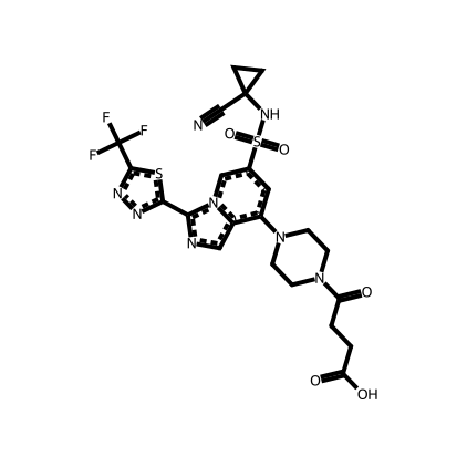 N#CC1(NS(=O)(=O)c2cc(N3CCN(C(=O)CCC(=O)O)CC3)c3cnc(-c4nnc(C(F)(F)F)s4)n3c2)CC1